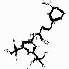 O=C(C=Cc1cccc(Br)c1)Nc1cc(C(F)(F)F)cc(C(F)(F)F)c1